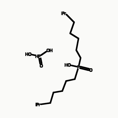 CC(C)CCCCCP(=O)(O)CCCCCC(C)C.O=[PH](O)O